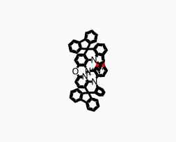 c1ccc2c(c1)-c1ccccc1C21c2ccccc2N2c3ccccc3[N+]34c5c(ccc6c5-n5c7c(cccc7c7ccc[n+]3c75)C63c5ccccc5-c5ccccc53)Oc3ccc1c2[n+]34